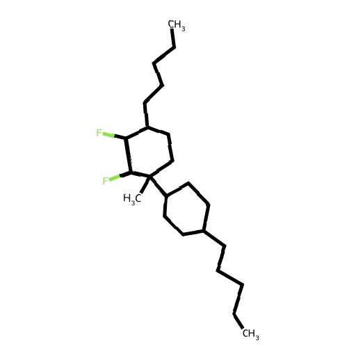 CCCCCC1CCC(C2(C)CCC(CCCCC)C(F)C2F)CC1